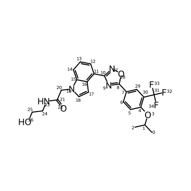 CC(C)Oc1ccc(-c2nc(-c3cccc4c3ccn4CC(=O)NCCO)no2)cc1C(F)(F)F